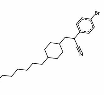 CCCCCCCC1CCC(CC(C#N)c2ccc(Br)cc2)CC1